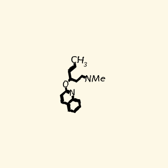 CC=CC(CCNC)Oc1ccc2ccccc2n1